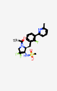 Cc1cccc(-c2cccc(C[C@H]3[C@@H](NS(C)(=O)=O)C(F)(F)CN3C(=O)C(C)(C)C)c2F)n1